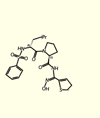 CC(C)C[C@@H](NS(=O)(=O)c1ccccc1)C(=O)N1CCC[C@H]1C(=O)NC(=NO)C1=CC[C]S1